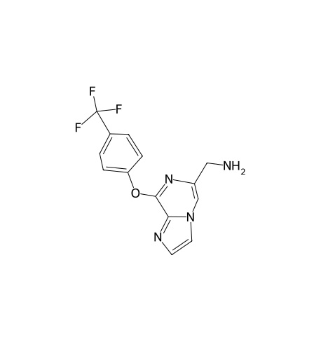 NCc1cn2ccnc2c(Oc2ccc(C(F)(F)F)cc2)n1